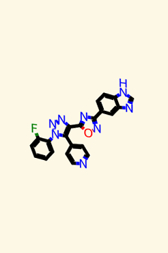 Fc1ccccc1-n1nnc(-c2nc(-c3ccc4[nH]cnc4c3)no2)c1-c1ccncc1